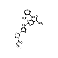 C=CC(=O)N1CCC[C@@H](n2cc(Nc3ncc(C(N)=O)c(Nc4ccccc4C)n3)cn2)C1